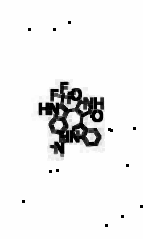 CN(C)Cc1ccc2[nH]c(C(F)(F)F)c(C3=C(c4c[nH]c5ccccc45)C(=O)NC3=O)c2c1